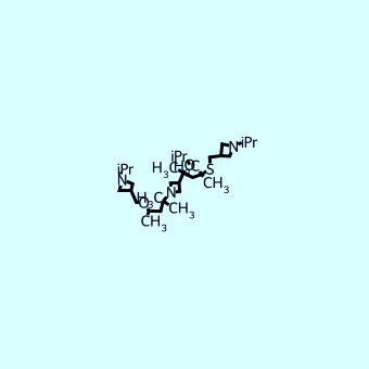 CC(C)OC(C)(CC(C)(C)SCC1CN(C(C)C)C1)C1CN(C(C)(C)CC(C)OCC2CN(C(C)C)C2)C1